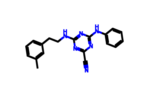 Cc1cccc(CCNc2nc(C#N)nc(Nc3ccccc3)n2)c1